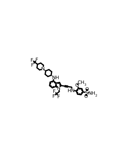 COc1cc(S(N)(=O)=O)ccc1NCC#Cc1cc2c(N[C@H]3CC[C@H](N4CCC(C(F)(F)F)CC4)CC3)cccc2n1CC(F)(F)F